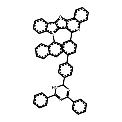 c1ccc(C2=NC(c3ccc(-c4ccc(-c5nc6ccccc6c6oc7c8ccccc8n(-c8cccc9ccccc89)c7c56)cc4)cc3)NC(c3ccccc3)=N2)cc1